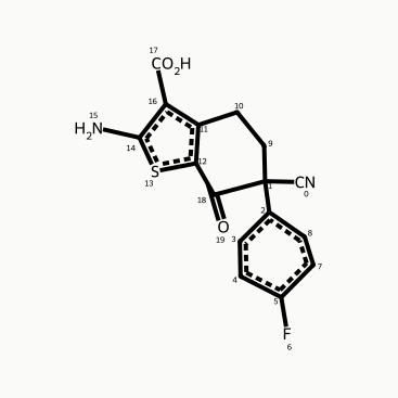 N#CC1(c2ccc(F)cc2)CCc2c(sc(N)c2C(=O)O)C1=O